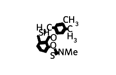 CNC(=S)Oc1cccc(CS)c1COc1cc(C)c(C)cc1C